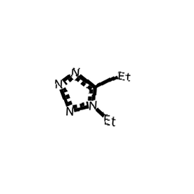 [CH2]Cc1nnnn1CC